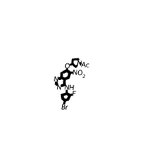 CC(=O)N1CCC(Oc2cc3ncnc(Nc4ccc(Br)cc4F)c3cc2[N+](=O)[O-])C1